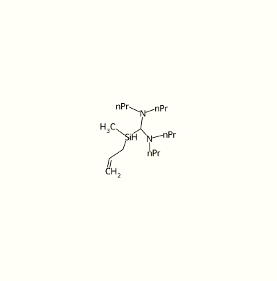 C=CC[SiH](C)C(N(CCC)CCC)N(CCC)CCC